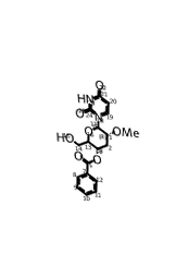 CO[C@@H]1C[C@H](OC(=O)c2ccccc2)C(CO)O[C@H]1n1ccc(=O)[nH]c1=O